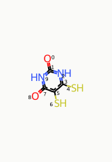 O=c1[nH]c(S)c(S)c(=O)[nH]1